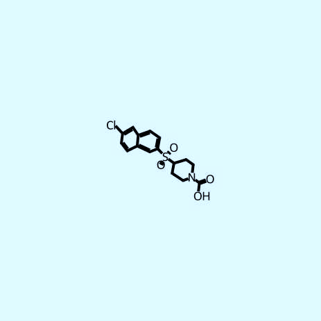 O=C(O)N1CCC(S(=O)(=O)c2ccc3cc(Cl)ccc3c2)CC1